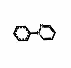 C1=CC=CN(c2ccccc2)N=1